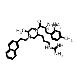 CC(=O)N[C@H](Cc1ccc(C)cc1C)C(=O)N1CC(C)N(CCc2ccc3ccccc3c2)CC1CCCNC(=N)N